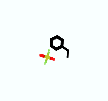 CCc1ccccc1.O=S(=O)(F)F